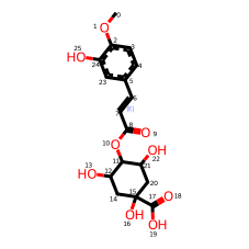 COc1ccc(/C=C/C(=O)OC2C(O)CC(O)(C(=O)O)CC2O)cc1O